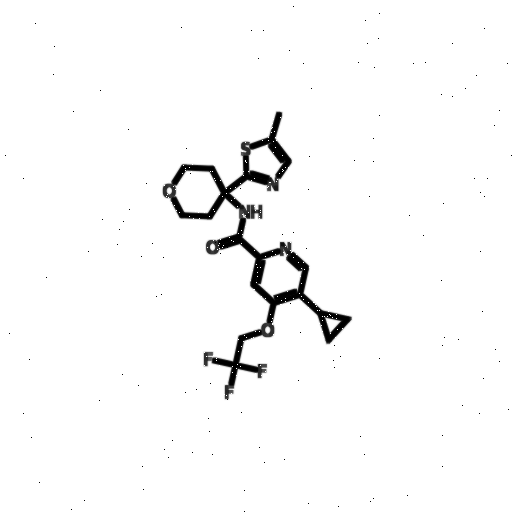 Cc1cnc(C2(NC(=O)c3cc(OCC(F)(F)F)c(C4CC4)cn3)CCOCC2)s1